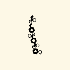 C=CC(=O)OCCc1ccc(OC(=O)C2CCC(C(=O)Oc3cccc(OC)c3)CC2)cc1